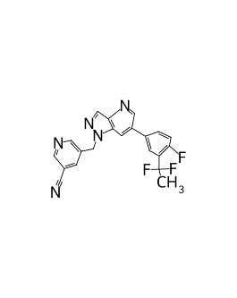 CC(F)(F)c1cc(-c2cnc3cnn(Cc4cncc(C#N)c4)c3c2)ccc1F